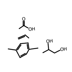 C=CC.CC(=O)O.CC(O)CO.Cc1ccc(C)cc1